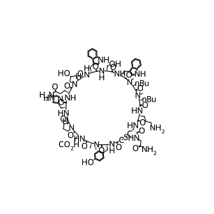 CCCC[C@H]1C(=O)N(C)[C@@H](CCCC)C(=O)N[C@@H](CCCN)C(=O)N[C@H](C(=O)NCC(N)=O)CSCC(=O)N[C@@H](Cc2ccc(O)cc2)C(=O)N(C)[C@@H](C)C(=O)N[C@@H](CC(=O)O)C(=O)N2CCC[C@H]2C(=O)N[C@@H](Cc2c[nH]cn2)C(=O)N[C@@H](CCC(N)=O)C(=O)N2C[C@H](O)C[C@H]2C(=O)N[C@@H](Cc2c[nH]c3ccccc23)C(=O)N[C@@H](CO)C(=O)N[C@@H](Cc2c[nH]c3ccccc23)C(=O)N1C